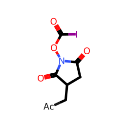 CC(=O)CC1CC(=O)N(OC(=O)I)C1=O